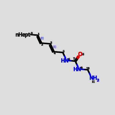 CCCCCCC/C=C/C=C/CNC(=O)NCN